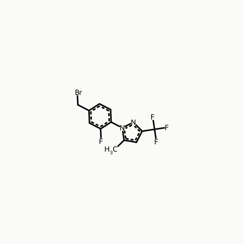 Cc1cc(C(F)(F)F)nn1-c1ccc(CBr)cc1F